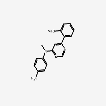 COc1ccccc1-c1cc(N(C)c2ccc(N)cc2)ncn1